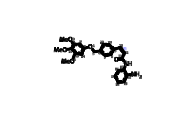 COc1cc(OCc2ccc(/C=C\C(=O)Nc3ccccc3N)cc2)cc(OC)c1OC